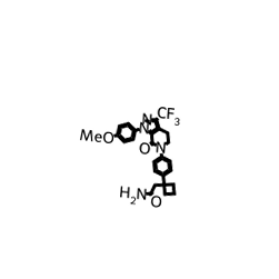 COc1ccc(-n2nc(C(F)(F)F)c3c2C(=O)N(c2ccc(C4(CC(N)=O)CCC4)cc2)CC3)cc1